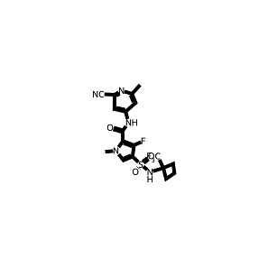 Cc1cc(NC(=O)c2c(F)c(S(=O)(=O)NC3(C(F)(F)F)CCC3)cn2C)cc(C#N)n1